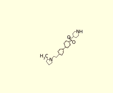 CC1CCCN1CCc1ccc(-c2ccc(S(=O)(=O)C3CCNCC3)cc2)cc1